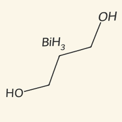 OCCCO.[BiH3]